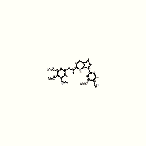 COc1cc(-c2cnc3ccc(NCc4cc(OC)c(OC)c(OC)c4)nn23)ccc1O